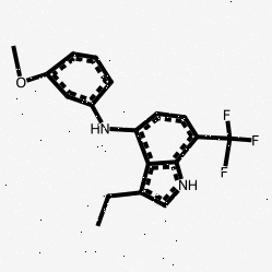 C[CH]c1c[nH]c2c(C(F)(F)F)ccc(Nc3cccc(OC)c3)c12